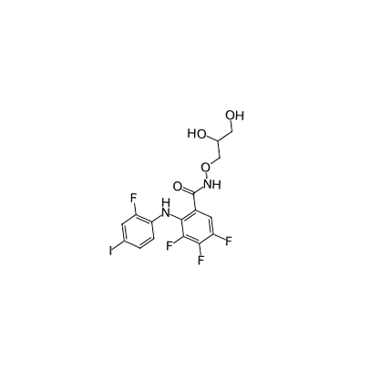 O=C(NOCC(O)CO)c1cc(F)c(F)c(F)c1Nc1ccc(I)cc1F